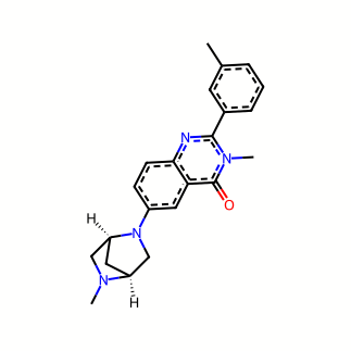 Cc1cccc(-c2nc3ccc(N4C[C@@H]5C[C@H]4CN5C)cc3c(=O)n2C)c1